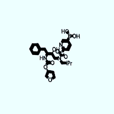 CC(C)CN(C[C@@H](O)C(Cc1ccccc1)NC(=O)O[C@H]1CCOC1)S(=O)(=O)c1ccc(B(O)O)cn1